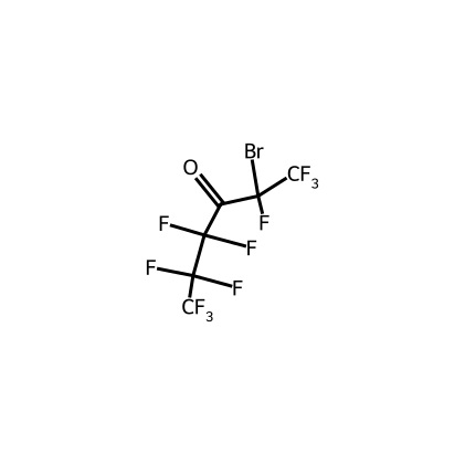 O=C(C(F)(F)C(F)(F)C(F)(F)F)C(F)(Br)C(F)(F)F